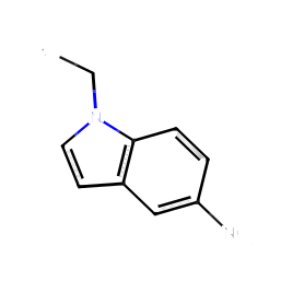 CC(=O)Cn1ccc2cc([N+](=O)[O-])ccc21